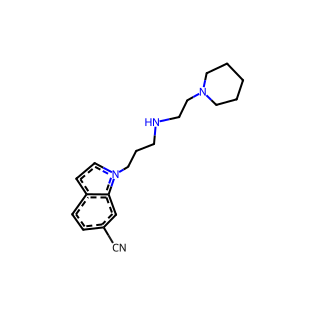 N#Cc1ccc2ccn(CCCNCCN3CCCCC3)c2c1